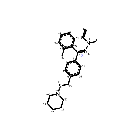 C=CN(C)/N=C(/c1ccc(CSN2CCCCC2)cc1)c1ccccc1C